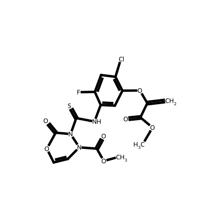 C=C(Oc1cc(NC(=S)N2C(=O)OC=CN2C(=O)OC)c(F)cc1Cl)C(=O)OC